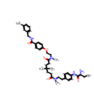 CN(CCOc1ccc(C(=O)NCc2cccc(C=O)c2)cc1)C(=O)CCC(C)(C)CCC(=O)N(C)CCc1ccc(NC(=O)[C@@H](N)CC(C)(C)C)cc1